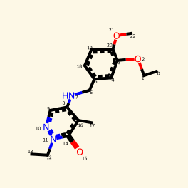 CCOc1cc(CNc2cnn(CC)c(=O)c2C)ccc1OC